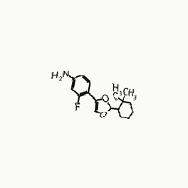 CC1(C)CCCCC1C1OC=C(c2ccc(N)cc2F)O1